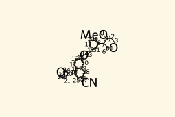 CO[C@@H]1CCOC(C)C1c1cccc(COc2ccc3c(-c4ccoc4)cc(C#N)cc3c2)c1